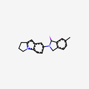 Cc1ccc2c(c1)C(I)N(c1ccc3c(c1)cc1n3CCC1)C2